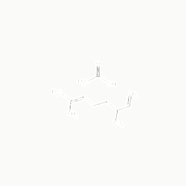 C=CC(C)CCC=C(C)C.CC(=O)O